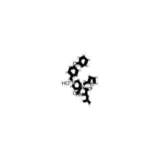 CC(C)CC1NC(=O)C2(CCN(Cc3ccc(Oc4ccccc4)cc3)CC2)N(Cc2ccco2)C1=O.Cl